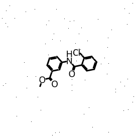 COC(=O)c1cccc(NC(=O)c2ccccc2Cl)c1